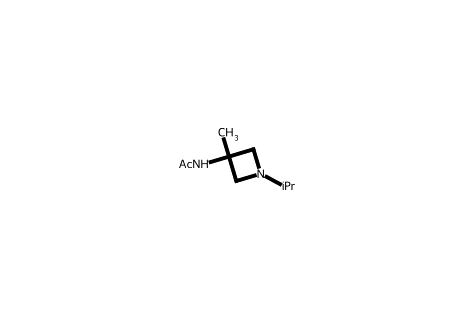 CC(=O)NC1(C)CN(C(C)C)C1